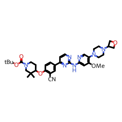 COc1cc(Nc2nccc(-c3ccc(OC4CCN(C(=O)OC(C)(C)C)CC4(C)C)c(C#N)c3)n2)ncc1N1CCN(C2COC2)CC1